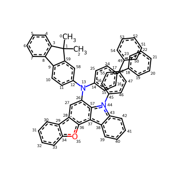 CC1(C)c2ccccc2-c2ccc(N(c3ccc(-c4ccccc4)cc3)c3cc4c5ccccc5oc4c4c5ccccc5n(-c5ccc(-c6ccccc6)cc5)c34)cc21